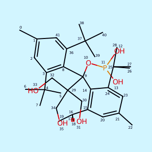 Cc1cc(C(C)(C)C)c(C(OP(O)O)(c2c(C(C)(C)C)cc(C)cc2C(C)(C)C)C(CO)(CO)CO)c(C(C)(C)C)c1